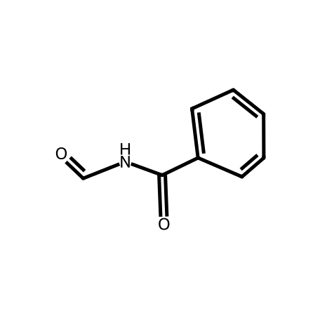 O=CNC(=O)c1ccccc1